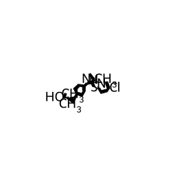 Cn1cnc(-c2ccc(C3=C[C@@H]3C(C)(C)O)cc2)c1Sc1ccc(Cl)cn1